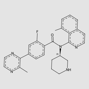 Cc1nccnc1-c1ccc(C(=O)N(c2nccc3cccc(C)c23)[C@@H]2CCCNC2)c(F)c1